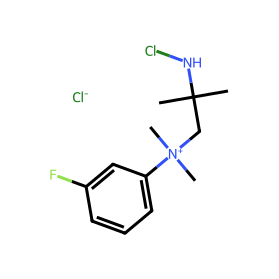 CC(C)(C[N+](C)(C)c1cccc(F)c1)NCl.[Cl-]